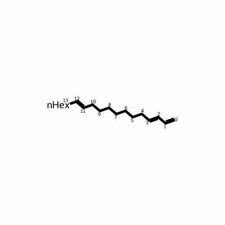 C=CC=CCCCCCCCC=CCCCCCC